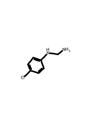 NCNc1ccc(Cl)cc1